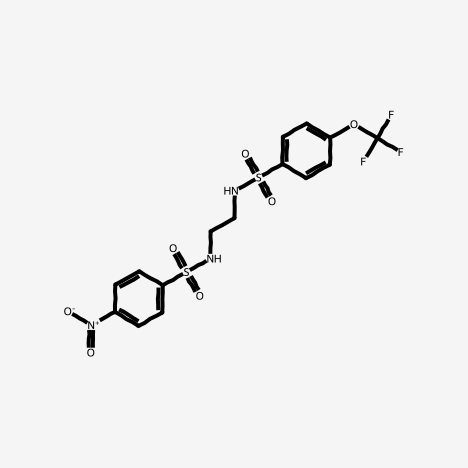 O=[N+]([O-])c1ccc(S(=O)(=O)NCCNS(=O)(=O)c2ccc(OC(F)(F)F)cc2)cc1